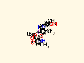 C[C@H]1CC(=O)C(C(=O)OC(C)(C)C)[C@@H](COc2cc(C(F)(F)F)c3c(ncn3C3CC(C)(O)C3)c2I)N1